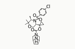 C[C@H]1N(S(=O)(=O)c2ccc(Cl)cc2)[C@@H](C2(OC(=O)N3CC4CCC(C3)N4)CC2)COC1(C)C